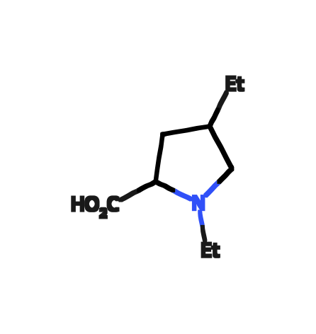 CCC1CC(C(=O)O)N(CC)C1